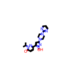 CC(C)n1nc(-c2cc(N3CCN(c4ncccn4)CC3)nn2O)ccc1=O